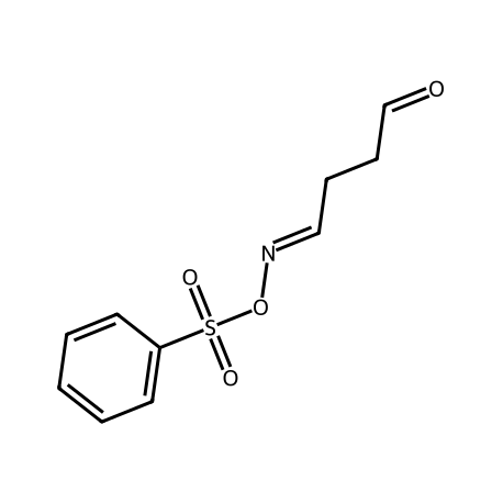 O=CCC/C=N/OS(=O)(=O)c1ccccc1